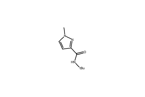 Cn1ccc(C(=O)NC(C)(C)C)n1